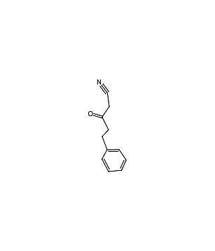 N#CCC(=O)CCc1ccccc1